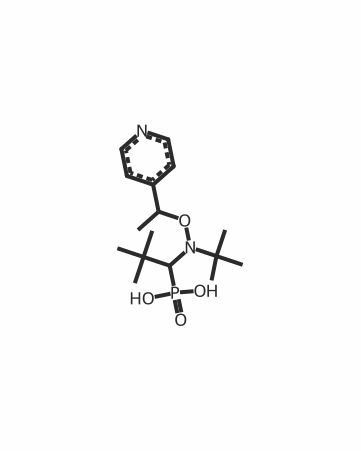 CC(ON(C(C(C)(C)C)P(=O)(O)O)C(C)(C)C)c1ccncc1